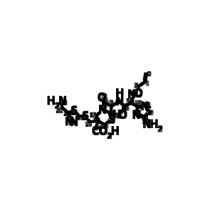 C=CCON=C(C(=O)NC1C(=O)N2CC(CSc3nnc(CN)s3)(C(=O)O)CS[C@H]12)c1nsc(N)n1